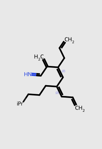 C=C/C=C(\C=C(\CC=C)C(=C)C=N)CCCC(C)C